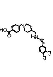 O=C(O)c1ccc(CN2CCC(CNC3C[C@H]3c3ccc(Cl)c(Cl)c3)CC2)cc1